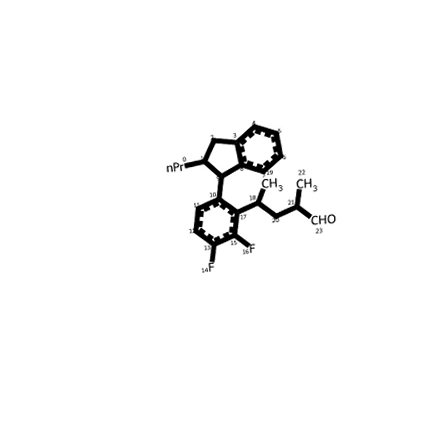 CCCC1Cc2ccccc2C1c1ccc(F)c(F)c1C(C)CC(C)C=O